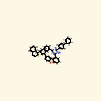 C1=CC2Sc3c(-c4ccc5oc6cccc(C7N=C(c8ccccc8)N=C(c8ccc(-c9ccccc9)cc8)N7)c6c5c4)cccc3C2c2ccccc21